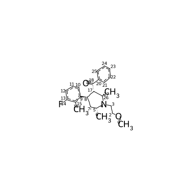 COCCN1[C@H](C)[CH][C@@H](c2cccc(F)c2C)[C@H](C(=O)c2ccccc2)[C@H]1C